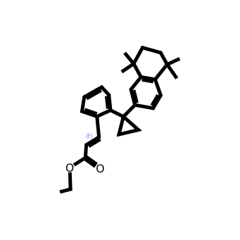 CCOC(=O)/C=C/c1ccccc1C1(c2ccc3c(c2)C(C)(C)CCC3(C)C)CC1